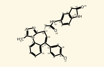 Cc1nnc2n1-c1ccccc1C(c1ccc(Cl)cc1)=C[C@H]2CC(=O)Nc1ccc2c(c1)CC(=O)N2